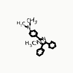 CCN(CC)c1ccc(-c2nc(-c3ccccc3)c(-c3ccccc3)n2C)cc1